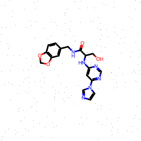 O=C(NCc1ccc2c(c1)OCO2)C(CO)Nc1cc(-n2ccnc2)ncn1